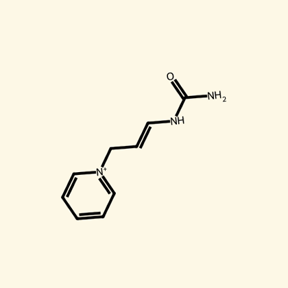 NC(=O)NC=CC[n+]1ccccc1